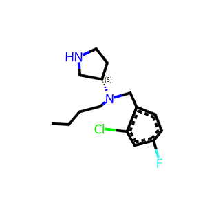 CCCCN(Cc1ccc(F)cc1Cl)[C@H]1CCNC1